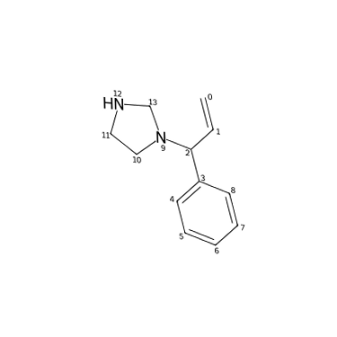 C=CC(c1ccccc1)N1CCNC1